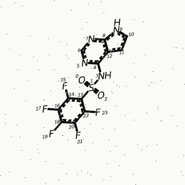 O=S(=O)(Nc1ncnc2[nH]ccc12)c1c(F)c(F)c(F)c(F)c1F